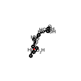 O=C(N[C@H]1CCCN(C(=O)COc2cccc([C@@](O)(C(=O)O)c3ccccc3CC3CCN(Cc4ccccc4)CC3)c2)C1)c1ccc(CCNC[C@H](O)c2ccc(O)c3[nH]c(=O)ccc23)cc1